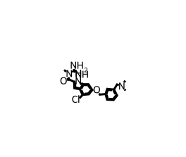 CN(C)Cc1cccc(COc2cc(Cl)c3cc(C(=O)N(C)C(=N)N)[nH]c3c2)c1